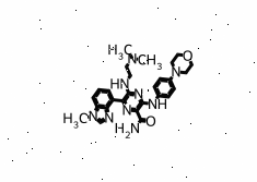 CN(C)CCNc1nc(Nc2ccc(N3CCOCC3)cc2)c(C(N)=O)nc1-c1cccc2c1ncn2C